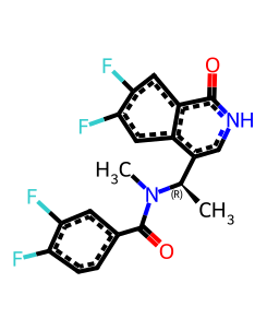 C[C@H](c1c[nH]c(=O)c2cc(F)c(F)cc12)N(C)C(=O)c1ccc(F)c(F)c1